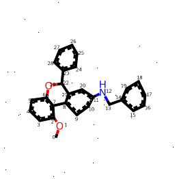 COc1cccc2c1-c1ccc(NCc3ccccc3)cc1C(c1ccccc1)O2